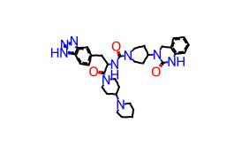 O=C(NC(Cc1ccc2[nH]nnc2c1)C(=O)N1CCC(N2CCCCC2)CC1)N1CCC(N2Cc3ccccc3NC2=O)CC1